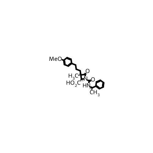 COc1ccc(CCC[C@@]2(C)C(=O)N(C(=O)N[C@H](C)c3ccccc3)[C@@H]2C(=O)O)cc1